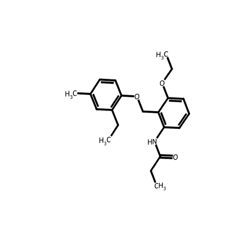 CCOc1cccc(NC(=O)CC)c1COc1ccc(C)cc1CC